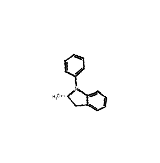 C[C@H]1Cc2ccccc2N1c1ccccc1